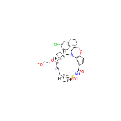 COCCO[C@H]1/C=C/C[C@@H]2CC[C@H]2S(=O)(=O)NC(=O)c2ccc3c(c2)N(C[C@@H]2CC[C@H]21)C[C@@]1(CCCc2cc(Cl)ccc21)CO3